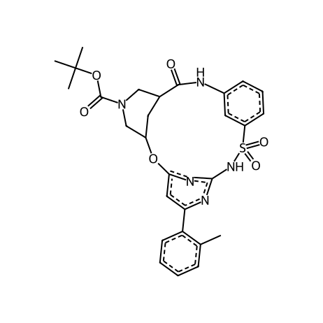 Cc1ccccc1-c1cc2nc(n1)NS(=O)(=O)c1cccc(c1)NC(=O)C1CC(CN(C(=O)OC(C)(C)C)C1)O2